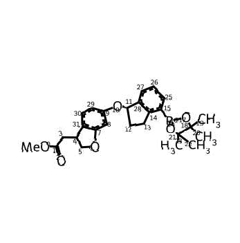 COC(=O)CC1COc2cc(O[C@@H]3CCc4c(B5OC(C)(C)C(C)(C)O5)cccc43)ccc21